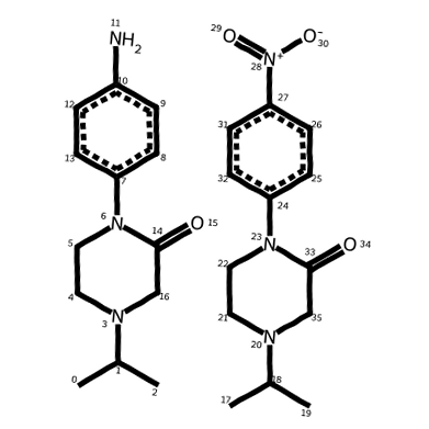 CC(C)N1CCN(c2ccc(N)cc2)C(=O)C1.CC(C)N1CCN(c2ccc([N+](=O)[O-])cc2)C(=O)C1